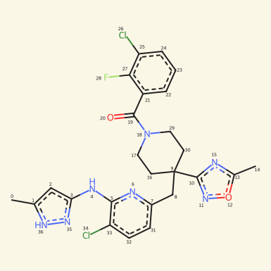 Cc1cc(Nc2nc(CC3(c4noc(C)n4)CCN(C(=O)c4cccc(Cl)c4F)CC3)ccc2Cl)n[nH]1